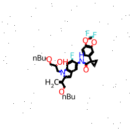 C=C(COCCCC)c1cc2cc(NC(=O)C3(c4ccc5c(c4)OC(F)(F)O5)CC3)c(F)cc2n1CC(O)COCCCC